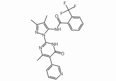 Cc1nn(-c2nc(C)c(-c3cccnc3)c(=O)[nH]2)c(NC(=O)c2ccccc2C(F)(F)F)c1C